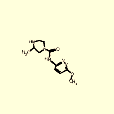 COc1ccc(NC(=O)N2CCNC(C)C2)nn1